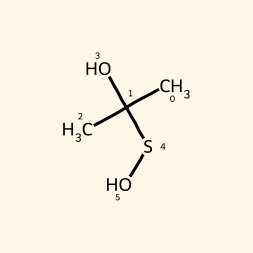 CC(C)(O)SO